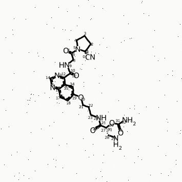 N#C[C@@H]1CCCN1C(=O)CNC(=O)c1ncnc2ccc(OCCCNC(=O)[C@@H](CN)OC(N)=O)cc12